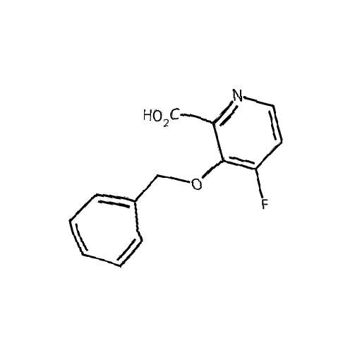 O=C(O)c1nccc(F)c1OCc1ccccc1